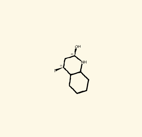 O[C@@H]1C[C@H](I)C2CCCCC2N1